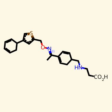 C/C(=N\OCc1cc(C2C=CC=CC2)cs1)C1=CCC(CNCCC(=O)O)C=C1